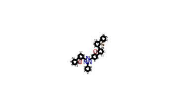 c1ccc(-c2nc(-c3ccc4c(c3)oc3c(-c5cccc6c5sc5ccccc56)cccc34)nc(-c3cccc4c3oc3ccccc34)n2)cc1